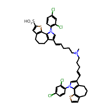 CN(CCC/C=C/c1cn(-c2ccc(Cl)cc2Cl)c2c1CCCc1ccsc1-2)CCC/C=C/c1cn(-c2ccc(Cl)cc2Cl)c2c1CCCc1cc(S(=O)(=O)O)sc1-2